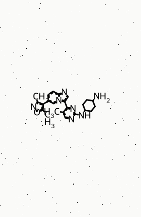 Cc1cnc(NC2CCC(N)CC2)nc1-c1cnc2ccc(-c3c(C)noc3C)cn12